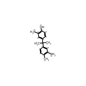 Cc1ccc(C(C)(C)c2ccc(O)c(N)c2)cc1N